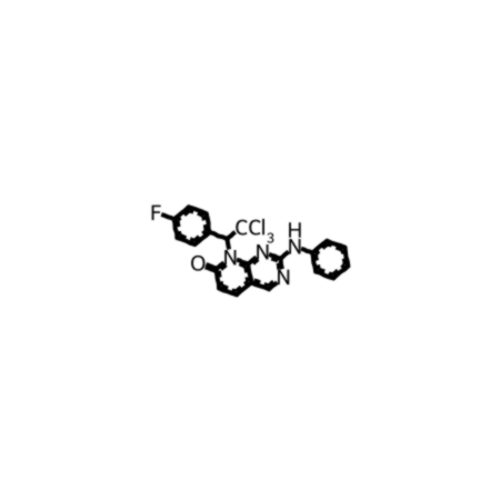 O=c1ccc2cnc(Nc3ccccc3)nc2n1C(c1ccc(F)cc1)C(Cl)(Cl)Cl